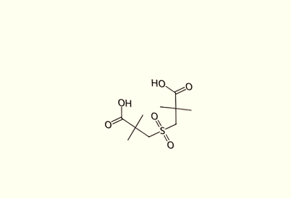 CC(C)(CS(=O)(=O)CC(C)(C)C(=O)O)C(=O)O